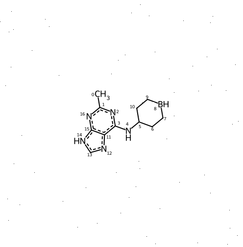 Cc1nc(NC2CCBCC2)c2nc[nH]c2n1